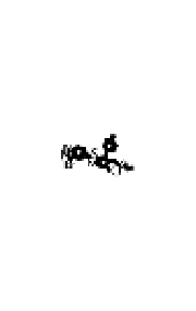 CCOC(=O)Cc1c(C)cc2nc(-c3ccc4c(c3)c(Br)nn4C)sc2c1-c1ccc(C)cc1